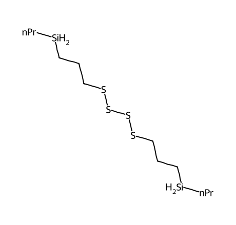 CCC[SiH2]CCCSSSSCCC[SiH2]CCC